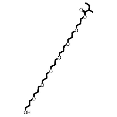 CCC(C)C(=O)OCCCOCCCOCCCOCCCOCCCOCCCOCCCO